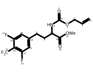 C=CCOC(=O)NC(CCc1cc(F)c(C(F)(F)F)c(F)c1)C(=O)OC